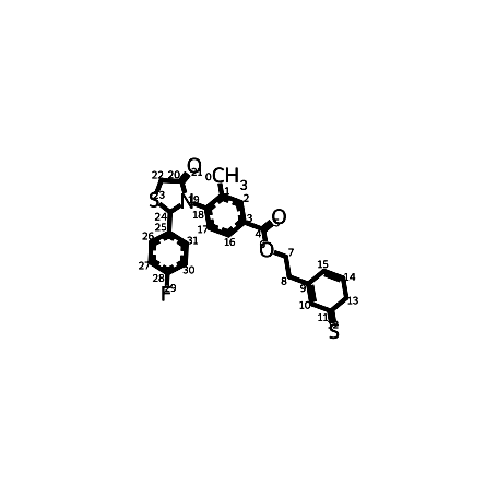 Cc1cc(C(=O)OCCC2=CC(=S)CC=C2)ccc1N1C(=O)CSC1c1ccc(F)cc1